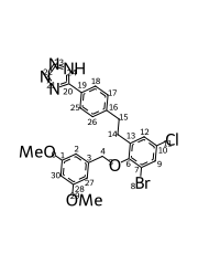 COc1cc(COc2c(Br)cc(Cl)cc2CCc2ccc(-c3nnn[nH]3)cc2)cc(OC)c1